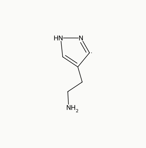 NCCc1[c]n[nH]c1